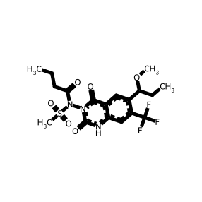 CCCC(=O)N(n1c(=O)[nH]c2cc(C(F)(F)F)c(C(CC)OC)cc2c1=O)S(C)(=O)=O